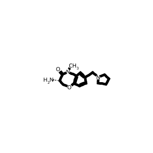 CN1C(=O)[C@@H](N)COc2ccc(CN3CCCC3)cc21